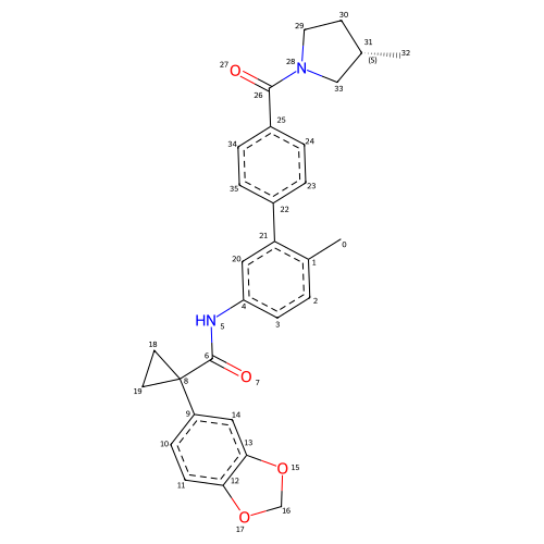 Cc1ccc(NC(=O)C2(c3ccc4c(c3)OCO4)CC2)cc1-c1ccc(C(=O)N2CC[C@H](C)C2)cc1